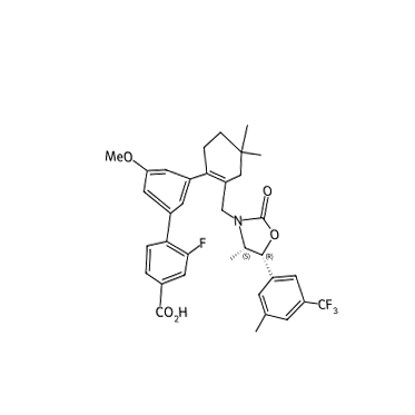 COc1cc(C2=C(CN3C(=O)O[C@H](c4cc(C)cc(C(F)(F)F)c4)[C@@H]3C)CC(C)(C)CC2)cc(-c2ccc(C(=O)O)cc2F)c1